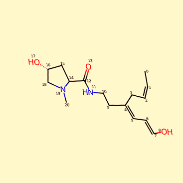 C/C=C\C/C(=C\C=C\O)CCNC(=O)C1C[C@@H](O)CN1C